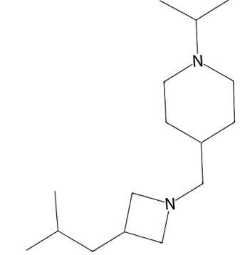 CC(C)CC1CN(CC2CCN(C(C)C)CC2)C1